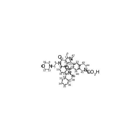 Cc1c(C(=O)N(CCN2CCOCC2)c2ccccc2)cc(-c2cc3c(cc2C(=O)N2Cc4ccccc4C[C@H]2C)CN(C(=O)O)CC3)n1C